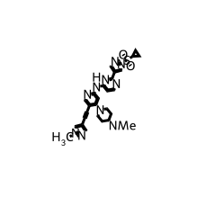 CNC1CCN(c2cc(Nc3ccnc(-c4cnn(S(=O)(=O)C5CC5)c4)n3)ncc2C#Cc2cnn(C)c2)CC1